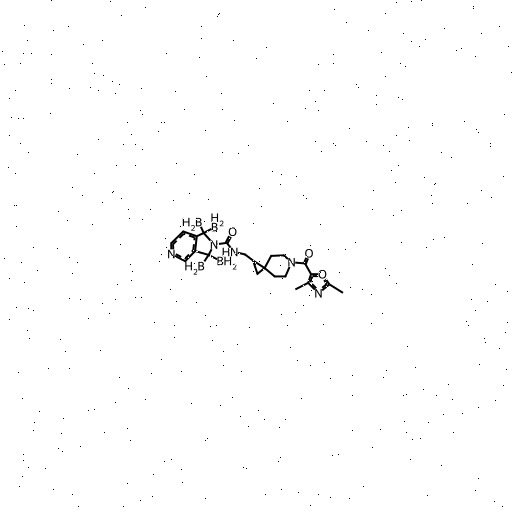 BC1(B)c2ccncc2C(B)(B)N1C(=O)NCC1CC12CCN(C(=O)c1oc(C)nc1C)CC2